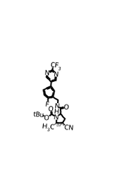 C[C@H]1[C@H](C#N)CC(C(=O)NCc2cc(-c3cnc(C(F)(F)F)nc3)ccc2F)N1C(=O)OC(C)(C)C